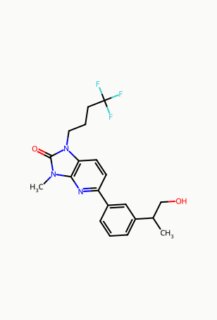 CC(CO)c1cccc(-c2ccc3c(n2)n(C)c(=O)n3CCCC(F)(F)F)c1